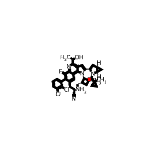 CC(O)c1nc2c(F)c(-c3cccc(Cl)c3Cl)c(CCC#N)cc2c2c1cc([C@H]1C[C@H]3C[C@H]3N1C(=O)C1(C)CC1)n2[C@H]1[C@@H](CN)C[C@@H]1C